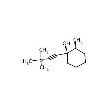 C[C@H]1CCCC[C@]1(O)C#C[Si](C)(C)C